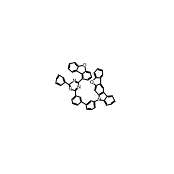 c1ccc(-c2nc(-c3cccc(-c4cccc(-n5c6ccccc6c6cc7c(cc65)oc5ccccc57)c4)c3)nc(-c3cccc4oc5ccccc5c34)n2)cc1